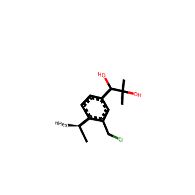 CCCCCC[C@H](C)c1ccc(C(O)C(C)(C)O)cc1CCl